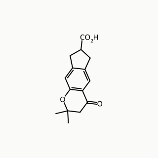 CC1(C)CC(=O)c2cc3c(cc2O1)CC(C(=O)O)C3